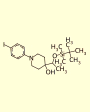 CC(O[Si](C)(C)C(C)(C)C)C1(O)CCN(c2ccc(I)cc2)CC1